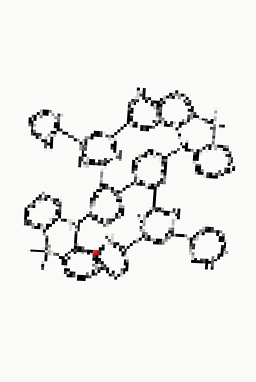 C[Si]1(C)c2ccccc2N(c2ccc(-c3ccc(N4c5ccccc5[Si](C)(C)c5ccccc54)cc3-c3nc(-c4cccnc4)cc(-c4ccccn4)n3)c(-c3nc(-c4cccnc4)cc(-c4ccccn4)n3)c2)c2ccccc21